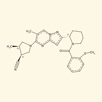 COc1ccccc1C(=O)N1CCCC[C@H]1c1cc2nc(N3C[C@@H](C#N)[C@@H](C)C3)c(C)cn2n1